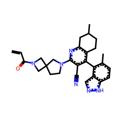 C=CC(=O)N1CC2(CCN(c3nc4c(c(-c5c(C)ccc6[nH]ncc56)c3C#N)CCC(C)C4)C2)C1